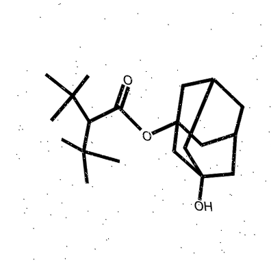 CC(C)(C)C(C(=O)OC12CC3CC(CC(O)(C3)C1)C2)C(C)(C)C